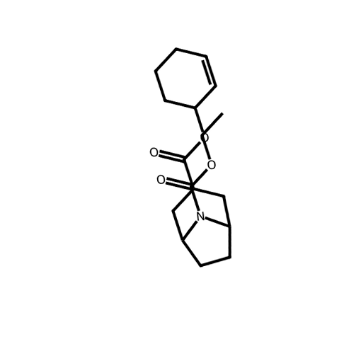 CCOC(=O)N1C2CCC1CC(C(=O)OC1C=CCCC1)C2